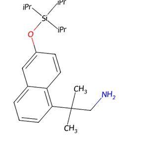 CC(C)[Si](Oc1ccc2c(C(C)(C)CN)cccc2c1)(C(C)C)C(C)C